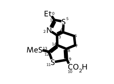 CCc1nc2c(s1)CCc1c(C(=O)O)sc(SC)c1-2